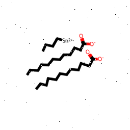 CCCCCCCCCCCC(=O)[O-].CCCCCCCCCCCC(=O)[O-].CCC[CH2][Sn+2]